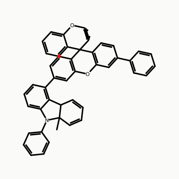 CC12C=CC=CC1c1c(-c3ccc4c(c3)Oc3cc(-c5ccccc5)ccc3C43c4ccccc4Oc4ccccc43)cccc1N2c1ccccc1